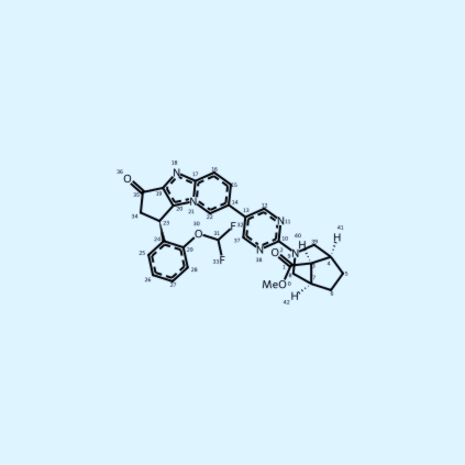 COC(=O)[C@H]1[C@@H]2CC[C@H]1CN(c1ncc(-c3ccc4nc5c(n4c3)[C@@H](c3ccccc3OC(F)F)CC5=O)cn1)C2